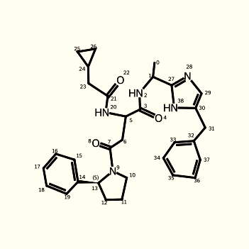 CC(NC(=O)C(CC(=O)N1CCC[C@H]1c1ccccc1)NC(=O)CC1CC1)c1ncc(Cc2ccccc2)[nH]1